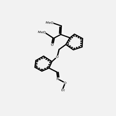 CCON=Cc1ccccc1OCc1ccccc1C(=COC)C(=O)OC